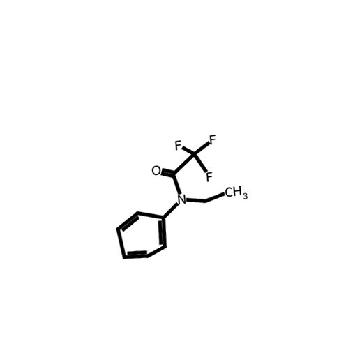 CCN(C(=O)C(F)(F)F)c1ccccc1